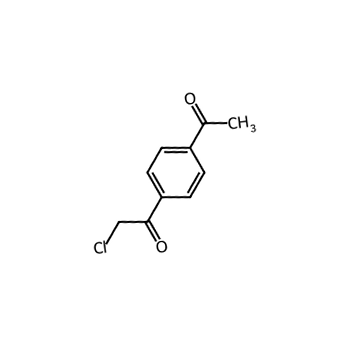 CC(=O)c1ccc(C(=O)CCl)cc1